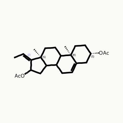 C/C=C1\C(OC(C)=O)CC2C3CC=C4C[C@@H](OC(C)=O)CC[C@]4(C)C3CC[C@]12C